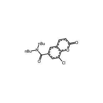 CCCCN(CCCC)C(=O)c1cc(Cl)c2oc(=O)ccc2c1